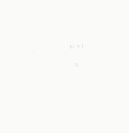 CN(Cc1sc(Br)cc1Br)C1CCCCC1.Cl